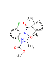 Cc1cccc([N+](=O)[O-])c1C(=O)N(C(=O)C(C)NC(=O)OC(C)(C)C)c1c(F)cccc1F